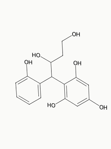 OCCC(O)C(c1ccccc1O)c1c(O)cc(O)cc1O